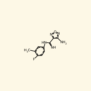 Cc1cc(NC(=N)c2nonc2N)ccc1F